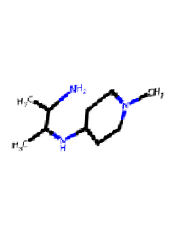 CC(N)C(C)NC1CCN(C)CC1